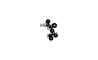 O=C(NC(CO)c1ccccc1)C(c1ccc(C(c2ccccn2)n2cnc3ccccc32)cc1)C1CCCCCC1